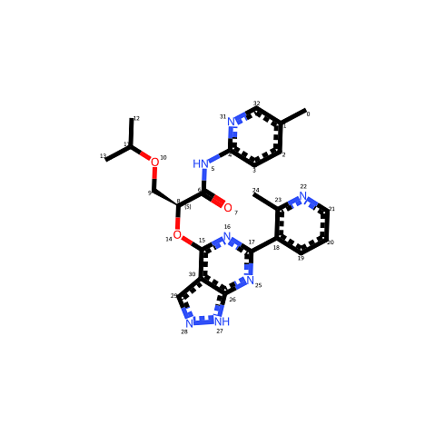 Cc1ccc(NC(=O)[C@H](COC(C)C)Oc2nc(-c3cccnc3C)nc3[nH]ncc23)nc1